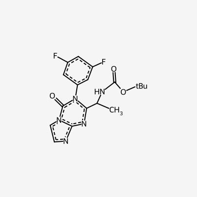 CC(NC(=O)OC(C)(C)C)c1nc2nccn2c(=O)n1-c1cc(F)cc(F)c1